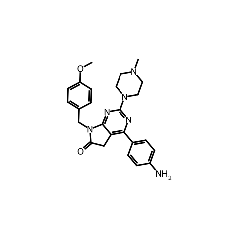 COc1ccc(CN2C(=O)Cc3c(-c4ccc(N)cc4)nc(N4CCN(C)CC4)nc32)cc1